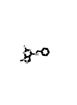 Cn1ncc2c(NCc3ccccc3)nc(F)nc21